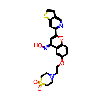 O=S1(=O)CCN(CCOc2ccc3oc(-c4cc5sccc5cn4)cc(=NO)c3c2)CC1